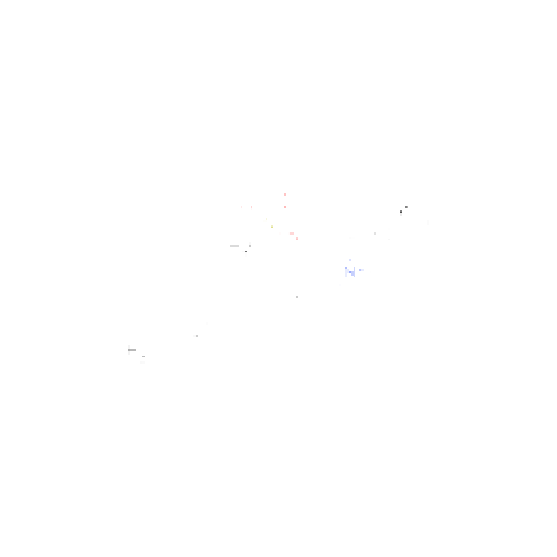 CCCCCCCCC[n+]1ccc(C)cc1.CS(=O)(=O)[O-]